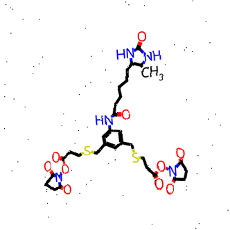 CC1NC(=O)NC1CCCCCC(=O)Nc1cc(CSCCC(=O)ON2C(=O)CCC2=O)cc(CSCCC(=O)ON2C(=O)CCC2=O)c1